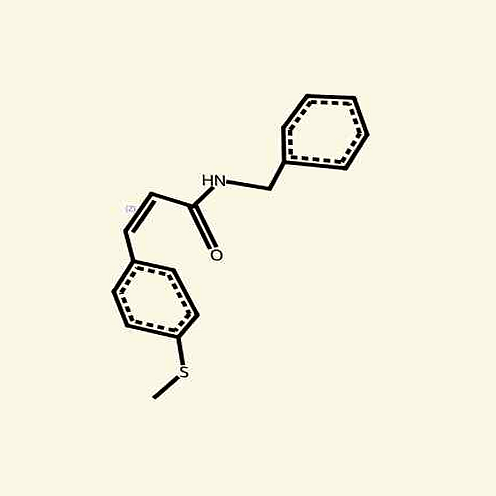 CSc1ccc(/C=C\C(=O)NCc2ccccc2)cc1